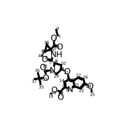 CCOC(=O)[C@]1(NC(=O)[C@@H]2C[C@@H](Oc3cc(C(=O)OC)nc4cc(OC)ccc34)CN2C(=O)OC(C)(C)C)C[C@@H]1C